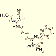 CC/N=C(\NC#N)NCCCCN1N=C(c2ccccc2)CC(C)C1=O